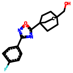 OCC12CCC(c3nc(-c4ccc(F)cc4)no3)(CC1)CC2